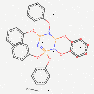 CC(C)=O.c1ccc(ON2P(Oc3ccccc3)N=P(Oc3ccccc3)(Oc3ccccc3)N(Oc3ccccc3)P2Oc2ccccc2)cc1